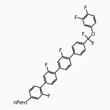 CCCCCc1ccc(-c2ccc(-c3ccc(-c4ccc(C(F)(F)Oc5ccc(F)c(F)c5)cc4)c(F)c3)c(F)c2)c(F)c1